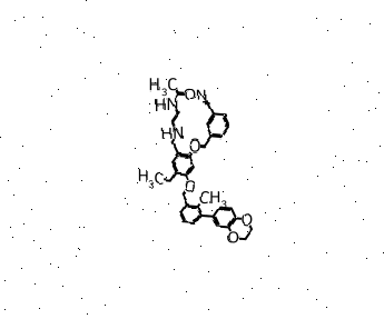 CCc1cc(CNCCNC(C)=O)c(OCc2cccc(C#N)c2)cc1OCc1cccc(-c2ccc3c(c2)OCCO3)c1C